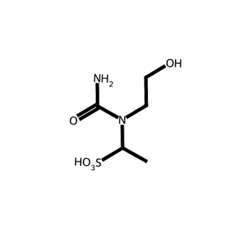 CC(N(CCO)C(N)=O)S(=O)(=O)O